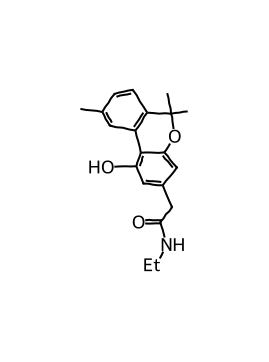 CCNC(=O)Cc1cc(O)c2c(c1)OC(C)(C)c1ccc(C)cc1-2